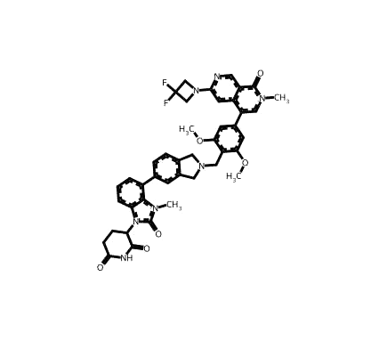 COc1cc(-c2cn(C)c(=O)c3cnc(N4CC(F)(F)C4)cc23)cc(OC)c1CN1Cc2ccc(-c3cccc4c3n(C)c(=O)n4C3CCC(=O)NC3=O)cc2C1